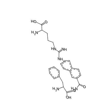 N=C(N)NCCCC(N)C(=O)O.NC(=O)c1ccc2ccccc2c1.NC(Cc1ccccc1)C(=O)O